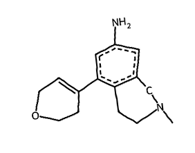 CN1CCc2c(cc(N)cc2C2=CCOCC2)C1